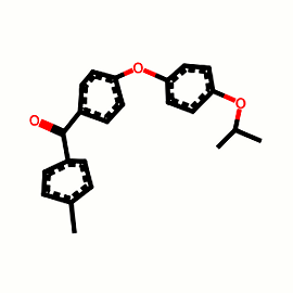 Cc1ccc(C(=O)c2ccc(Oc3ccc(OC(C)C)cc3)cc2)cc1